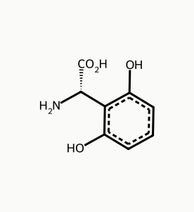 N[C@H](C(=O)O)c1c(O)cccc1O